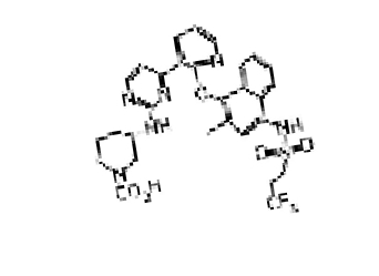 Cc1cc(NS(=O)(=O)CCC(F)(F)F)c2ccccc2c1Oc1ncccc1-c1ccnc(N[C@H]2CCCN(C(=O)O)C2)n1